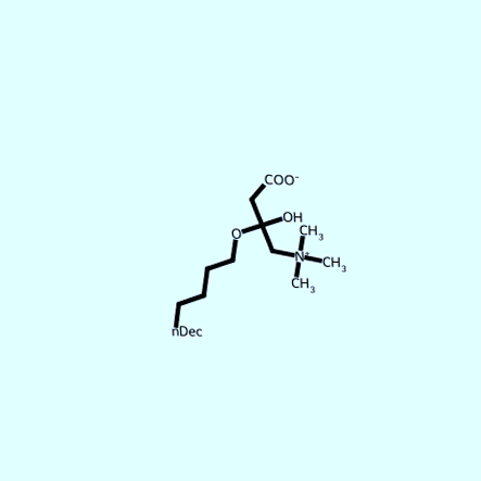 CCCCCCCCCCCCCCOC(O)(CC(=O)[O-])C[N+](C)(C)C